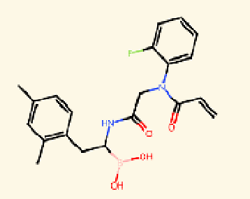 C=CC(=O)N(CC(=O)NC(Cc1ccc(C)cc1C)B(O)O)c1ccccc1F